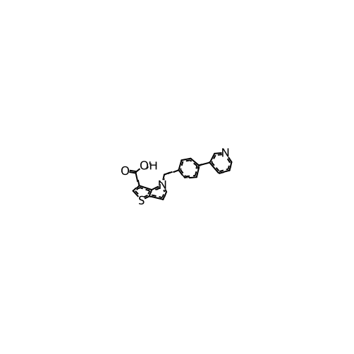 O=C(O)c1csc2ccn(Cc3ccc(-c4cccnc4)cc3)c12